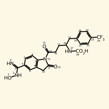 N=C(NO)c1ccc2c(c1)CC(=O)N2C(=O)CCC(Cc1ccc(C(F)(F)F)cc1)NC(=O)O